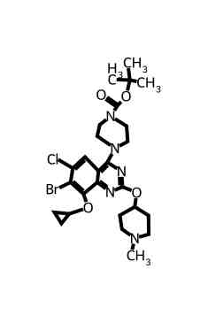 CN1CCC(Oc2nc(N3CCN(C(=O)OC(C)(C)C)CC3)c3cc(Cl)c(Br)c(OC4CC4)c3n2)CC1